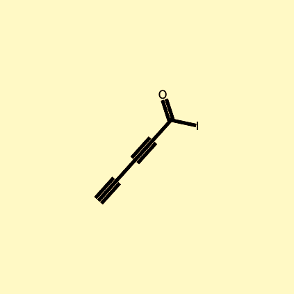 C#CC#CC(=O)I